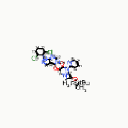 CC(C)(C)[Si](C)(C)OC1CN(C[C@H](Oc2ncnc3c2cnn3-c2c(Cl)cccc2Cl)C(=O)Nc2ccccn2)C1